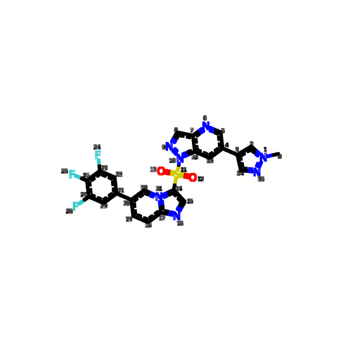 Cn1cc(-c2cnc3cnn(S(=O)(=O)c4cnc5ccc(-c6cc(F)c(F)c(F)c6)cn45)c3c2)cn1